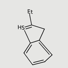 CCC1=[SH]c2ccccc2C1